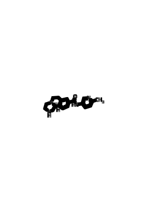 Cc1ccc(NC(=O)c2ccc3c(c2)CCN2CCNC[C@@H]32)cn1